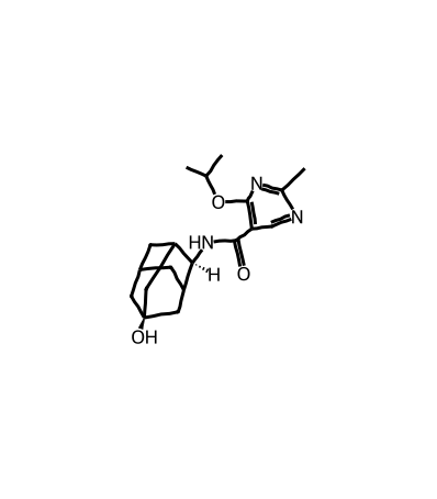 Cc1ncc(C(=O)N[C@H]2C3CC4CC2C[C@@](O)(C4)C3)c(OC(C)C)n1